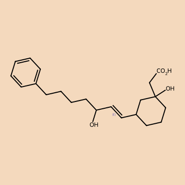 O=C(O)CC1(O)CCCC(/C=C/C(O)CCCCc2ccccc2)C1